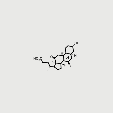 C[C@H](CCC(=O)O)C1CC[C@H]2[C@@H]3C(=O)C[C@@H]4C[C@H](O)CC[C@]4(C)[C@H]3CC(=O)[C@]12C